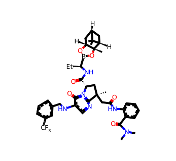 CC[C@H](NC(=O)[C@@H]1C[C@@](C)(CC(=O)Nc2ccccc2C(=O)N(C)C)c2ncc(NCc3cccc(C(F)(F)F)c3)c(=O)n21)B1O[C@@H]2C[C@@H]3C[C@@H](C3(C)C)[C@]2(C)O1